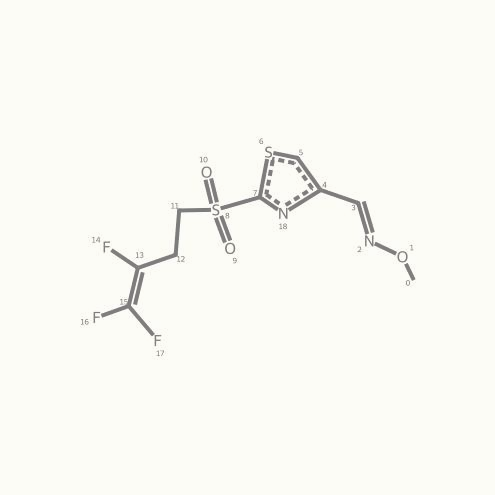 CON=Cc1csc(S(=O)(=O)CCC(F)=C(F)F)n1